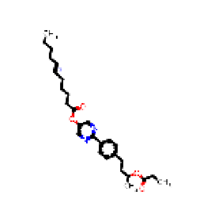 CCCC/C=C/CCCCC(=O)Oc1cnc(-c2ccc(CCC(C)OC(=O)CC)cc2)nc1